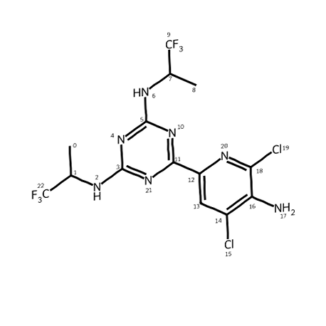 CC(Nc1nc(NC(C)C(F)(F)F)nc(-c2cc(Cl)c(N)c(Cl)n2)n1)C(F)(F)F